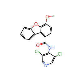 COc1ccc(C(=O)Nc2c(Cl)cncc2Cl)c2c1oc1ccccc12